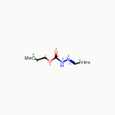 CCCCCC/C=N/NC(=O)OCCOC